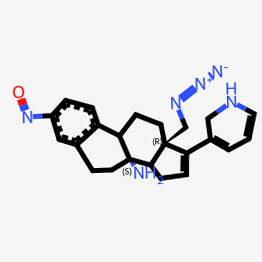 [N-]=[N+]=NC[C@]12CCC3c4ccc(N=O)cc4CC[C@@]3(N)C1CC=C2C1=CC=CNC1